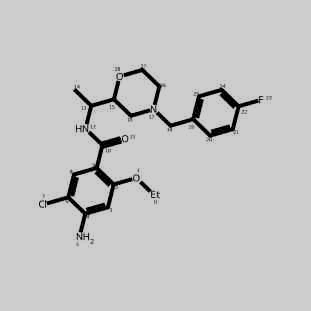 CCOc1cc(N)c(Cl)cc1C(=O)NC(C)C1CN(Cc2ccc(F)cc2)CCO1